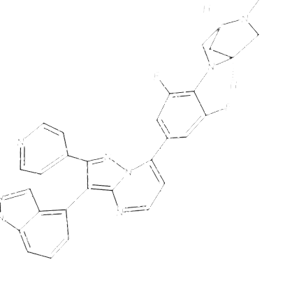 CN1C[C@@H]2C[C@H]1CN2c1c(F)cc(-c2ccnc3c(-c4cccc5[nH]ncc45)c(-c4ccncc4)nn23)cc1F